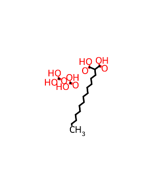 CCCCCCCCCCCCCC(C(=O)O)C(=O)O.O=C(O)O.O=C(O)O